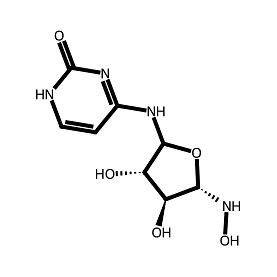 O=c1nc(NC2O[C@H](NO)[C@@H](O)[C@@H]2O)cc[nH]1